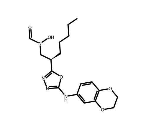 CCCCC[C@H](CN(O)C=O)c1nnc(Nc2ccc3c(c2)OCCO3)o1